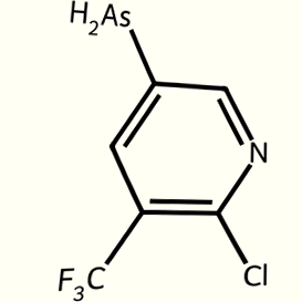 FC(F)(F)c1cc([AsH2])cnc1Cl